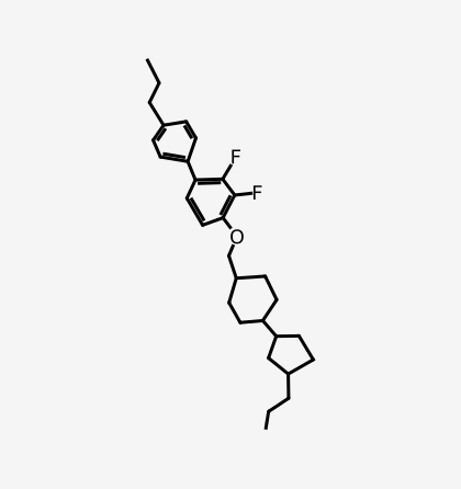 CCCc1ccc(-c2ccc(OCC3CCC(C4CCC(CCC)C4)CC3)c(F)c2F)cc1